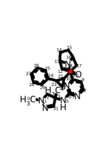 CN1CC(C)(Nc2nccc(C3=CC4CCC(C3)N4C(=O)C3CC3c3ccccc3)n2)C=N1